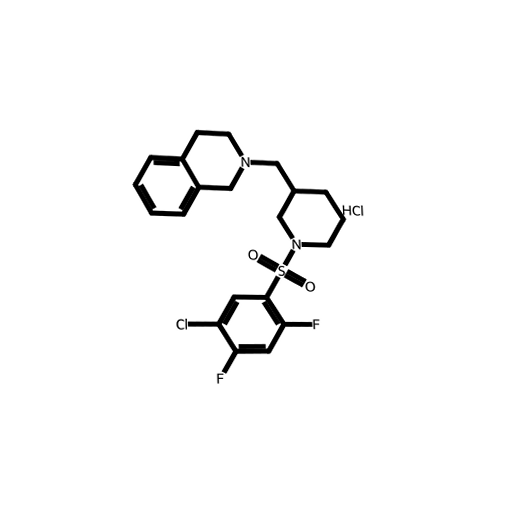 Cl.O=S(=O)(c1cc(Cl)c(F)cc1F)N1CCCC(CN2CCc3ccccc3C2)C1